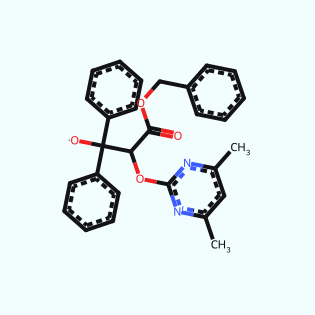 Cc1cc(C)nc(OC(C(=O)OCc2ccccc2)C([O])(c2ccccc2)c2ccccc2)n1